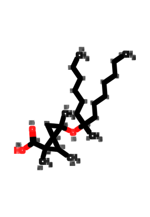 CCCCCCCC(C)(CCCCCC)OC1(C)CC12C(C)C2(C)C(=O)O